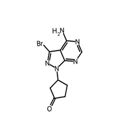 Nc1ncnc2c1c(Br)nn2C1CCC(=O)C1